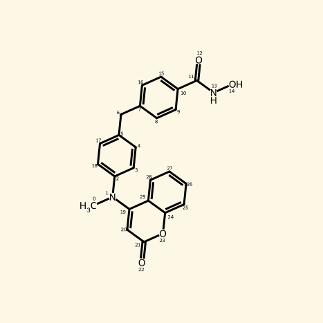 CN(c1ccc(Cc2ccc(C(=O)NO)cc2)cc1)c1cc(=O)oc2ccccc12